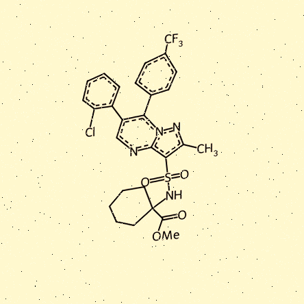 COC(=O)C1(NS(=O)(=O)c2c(C)nn3c(-c4ccc(C(F)(F)F)cc4)c(-c4ccccc4Cl)cnc23)CCCCC1